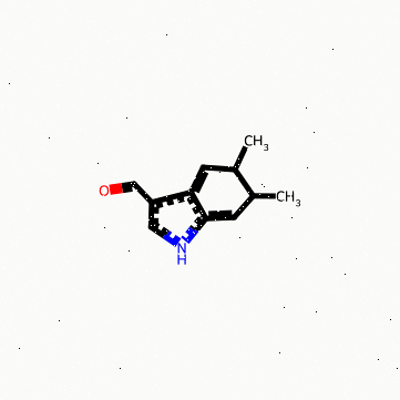 CC1C=c2[nH]cc(C=O)c2=CC1C